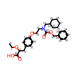 CCOC(Cc1ccc(OCCN(CC2CCCCC2)C(=O)OCc2ccccc2)cc1)C(=O)O